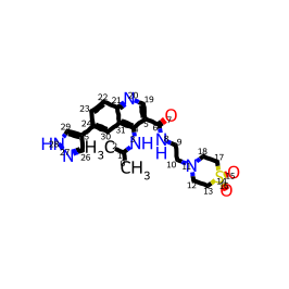 CC(C)Nc1c(C(=O)NCCN2CCS(=O)(=O)CC2)cnc2ccc(-c3cn[nH]c3)cc12